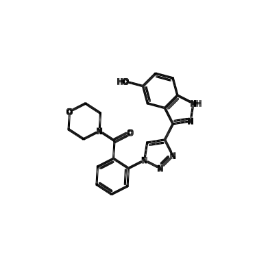 O=C(c1ccccc1-n1cc(-c2n[nH]c3ccc(O)cc23)nn1)N1CCOCC1